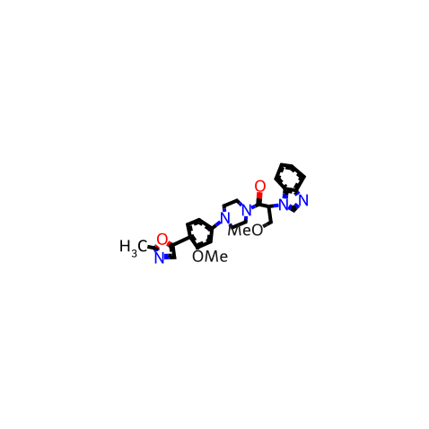 COCC(C(=O)N1CCN(c2ccc(-c3cnc(C)o3)c(OC)c2)CC1)n1cnc2ccccc21